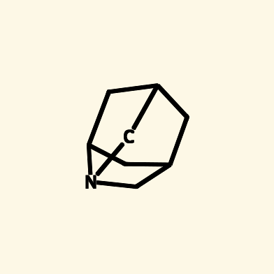 C1C2CC3CC1CN3C2